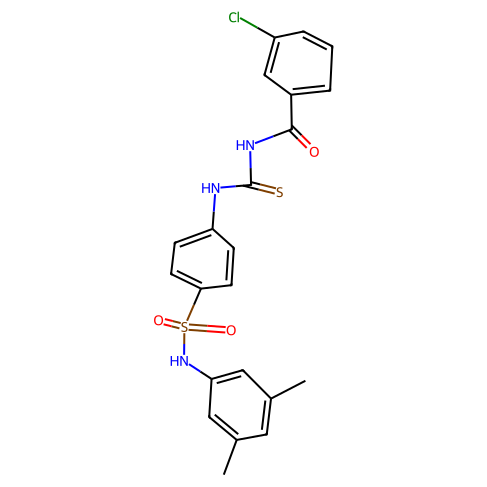 Cc1cc(C)cc(NS(=O)(=O)c2ccc(NC(=S)NC(=O)c3cccc(Cl)c3)cc2)c1